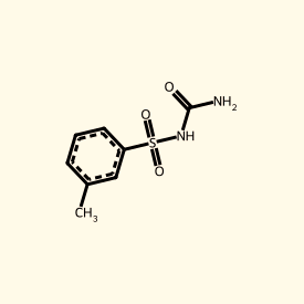 Cc1cccc(S(=O)(=O)NC(N)=O)c1